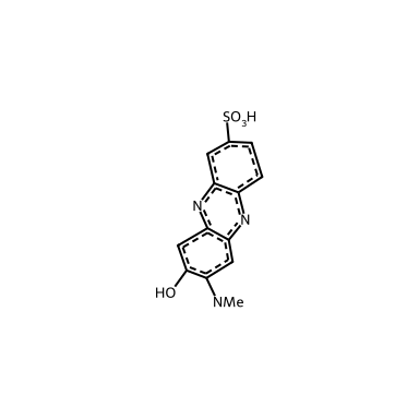 CNc1cc2nc3ccc(S(=O)(=O)O)cc3nc2cc1O